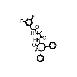 C[C@H](NC(=O)Cc1cc(F)cc(F)c1)C(=O)N[C@H]1CC(c2ccccc2)=C[C@H](c2ccccc2)N(C)C1=O